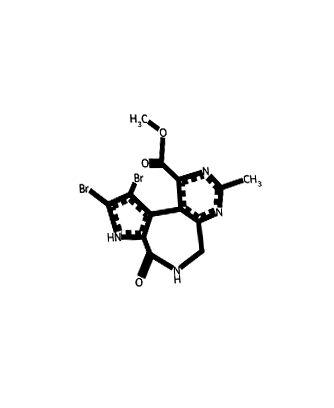 COC(=O)c1nc(C)nc2c1-c1c([nH]c(Br)c1Br)C(=O)NC2